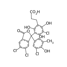 Cc1c(O)c(Cl)cc(C2(c3cc(Cl)c(O)c(CCC(=O)O)c3O)OC(=O)c3cc(Cl)c(Cl)cc32)c1O